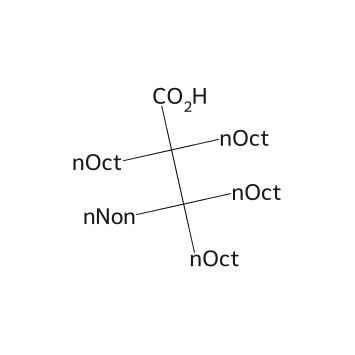 CCCCCCCCCC(CCCCCCCC)(CCCCCCCC)C(CCCCCCCC)(CCCCCCCC)C(=O)O